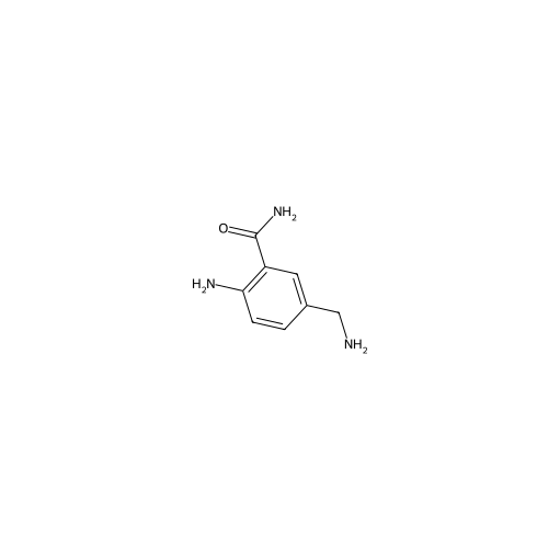 NCc1ccc(N)c(C(N)=O)c1